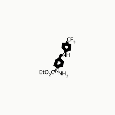 CCOC(=O)N(N)c1ccc(CNc2ccc(C(F)(F)F)cc2)cc1